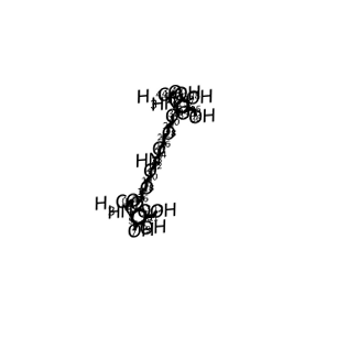 CC(=O)NC1CC(O)[C@@H](O)C(CO)O[C@H]1OCCOCCOCNCOCCOCCO[C@@H]1OC(CO)[C@H](O)C(O)C1NC(C)=O